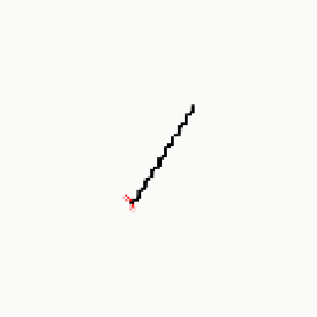 CCCCC=CCC=CCC=CCCCCCCC(=O)O